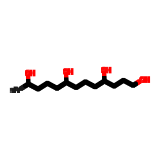 [CH2]CCC(O)CCCC(O)CCCC(O)CCCO